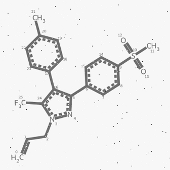 C=CCn1nc(-c2ccc(S(C)(=O)=O)cc2)c(-c2ccc(C)cc2)c1C(F)(F)F